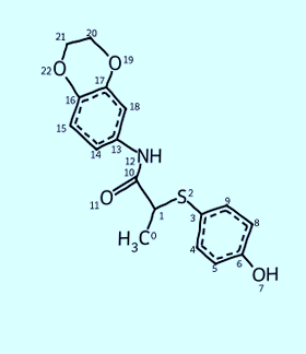 CC(Sc1ccc(O)cc1)C(=O)Nc1ccc2c(c1)OCCO2